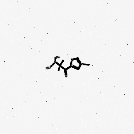 CCCCN(CCCC)C(C)(C)C(=O)c1cc(C)cs1